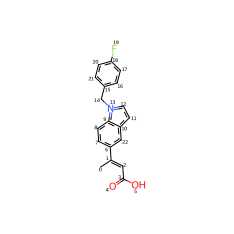 CC(=CC(=O)O)c1ccc2c(ccn2Cc2ccc(F)cc2)c1